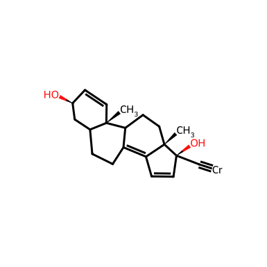 C[C@]12C=C[C@H](O)CC1CCC1=C3C=C[C@@](O)([C]#[Cr])[C@@]3(C)CCC12